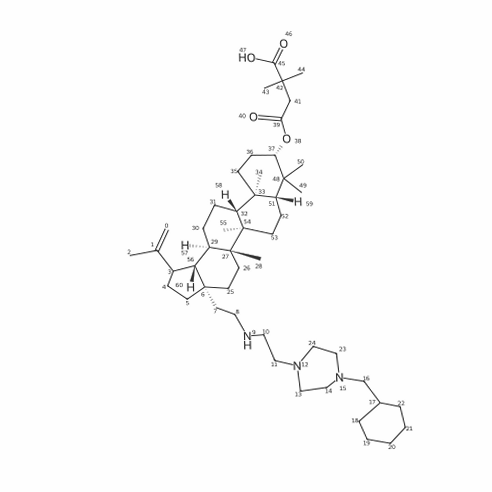 C=C(C)C1CC[C@]2(CCNCCN3CCN(CC4CCCCC4)CC3)CC[C@]3(C)[C@H](CC[C@@H]4[C@@]5(C)CC[C@H](OC(=O)CC(C)(C)C(=O)O)C(C)(C)[C@@H]5CC[C@]43C)[C@@H]12